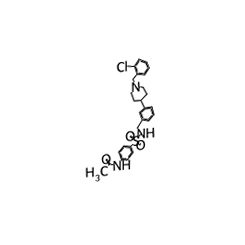 CC(=O)Nc1ccc(S(=O)(=O)NCc2cccc(C3CCN(Cc4ccccc4Cl)CC3)c2)cc1